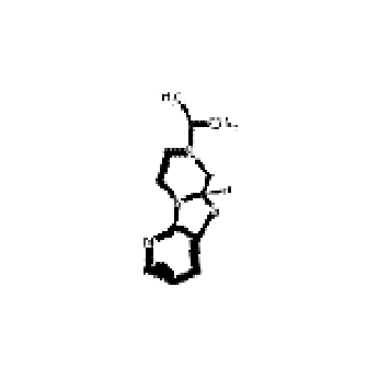 CC(C)N1CCN2c3ncccc3S[C@H]2C1